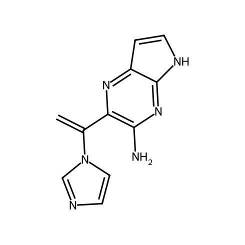 C=C(c1nc2cc[nH]c2nc1N)n1ccnc1